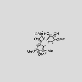 COc1ccc(C2C(OC)C(=O)N2c2cc(OC)c(OC)c(OC)c2)c(O)c1O